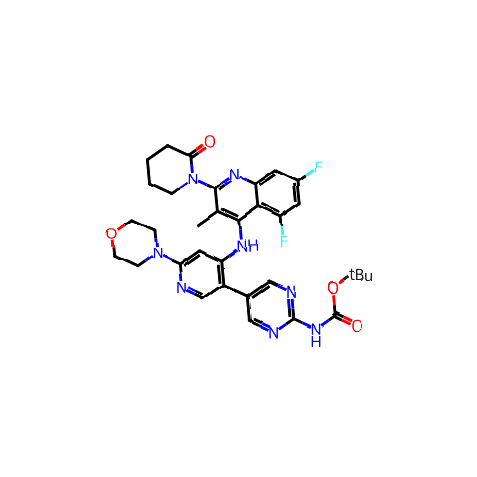 Cc1c(N2CCCCC2=O)nc2cc(F)cc(F)c2c1Nc1cc(N2CCOCC2)ncc1-c1cnc(NC(=O)OC(C)(C)C)nc1